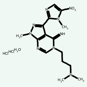 CN(C)CCCn1cnc2c(c(-c3ncc([N+](=O)[O-])n3C)nn2C)c1=N.Cl.Cl.O